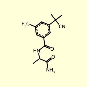 CC(NC(=O)c1cc(C(F)(F)F)cc(C(C)(C)C#N)c1)C(N)=O